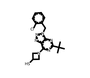 CC(C)(C)c1nc(N2CC(S)C2)c2nnn(Cc3ccccc3Cl)c2n1